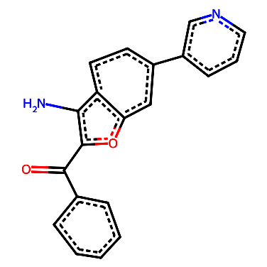 Nc1c(C(=O)c2ccccc2)oc2cc(-c3cccnc3)ccc12